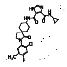 Cc1cc(N2CC[C@]3(CC[C@@H](NC(=O)c4[nH]cnc4C(=O)NC4CC4)CC3)C2=O)c(Cl)cc1F